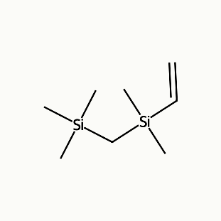 C=C[Si](C)(C)C[Si](C)(C)C